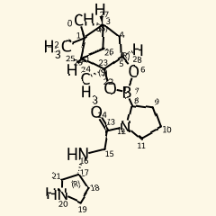 CC1(C)[C@@H]2C[C@H]3OB(C4CCCN4C(=O)CN[C@@H]4CCNC4)O[C@@]3(C)[C@H]1C2